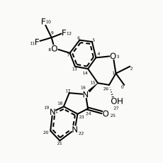 CC1(C)Oc2ccc(OC(F)(F)F)cc2[C@H](N2Cc3nccnc3C2=O)[C@H]1O